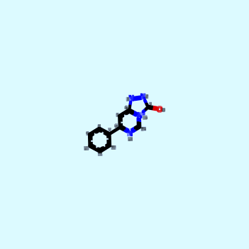 O=C1N=Nc2cc(-c3ccccc3)nc[n+]21